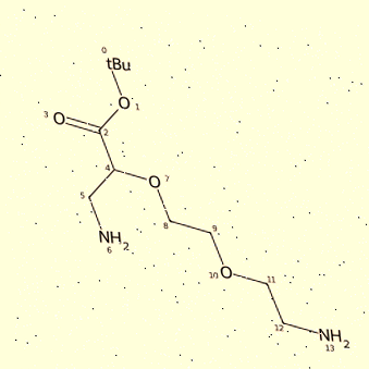 CC(C)(C)OC(=O)C(CN)OCCOCCN